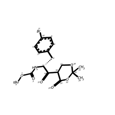 CC(C)(C)OC(=O)N[C@H](Cc1ccc(Br)cc1)C(=O)C1COC(C)(C)OC1=O